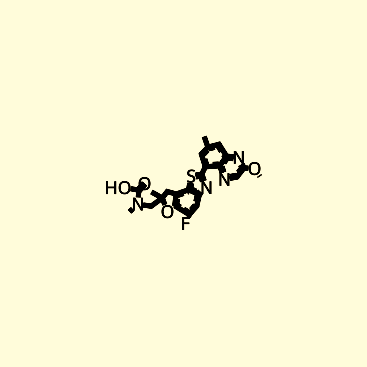 COc1cnc2c(-c3nc4cc(F)c5c(c4s3)CC(C)(CN(C)C(=O)O)O5)cc(C)cc2n1